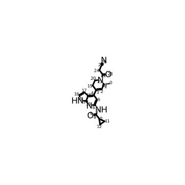 C[C@H]1C=C(c2cc(NC(=O)C3CC3)nc3[nH]ccc23)CCN1C(=O)CC#N